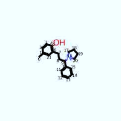 Cc1ccc(O)c(CCC(c2ccccc2)N2CCCC2)c1